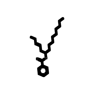 CCC=CCC(CCCCCCCCC)OC(=O)c1ccccc1